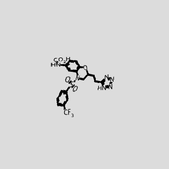 O=C(O)Nc1ccc2c(c1)N(S(=O)(=O)c1cccc(C(F)(F)F)c1)CC(CCc1nnn[nH]1)O2